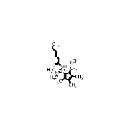 CCCCCC(=O)[NH][Zr+2]([C]1=C(C)C(C)=C(C)C1C)[SiH](C)C.[Cl-].[Cl-]